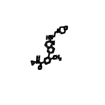 Cc1ccc(C(=O)NC2CC2)cc1-c1ccc2nc(NCCN3CCOCC3)ccc2c1